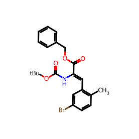 Cc1ccc(Br)cc1/C=C(\NC(=O)OC(C)(C)C)C(=O)OCc1ccccc1